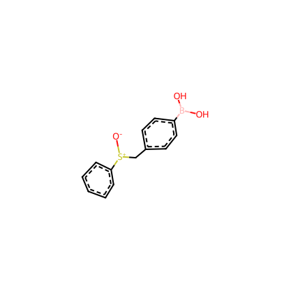 [O-][S+](Cc1ccc(B(O)O)cc1)c1ccccc1